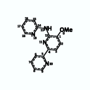 COc1ccc(-c2ccccn2)nc1Nc1ccccn1